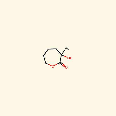 CC(=O)C1(O)CCCCOC1=O